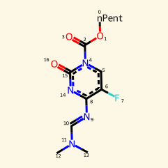 CCCCCOC(=O)n1cc(F)c(/N=C/N(C)C)nc1=O